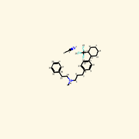 CC#N.CN(CCCc1ccc(C2CCCCC2C(F)(F)F)cc1)CCc1ccccc1